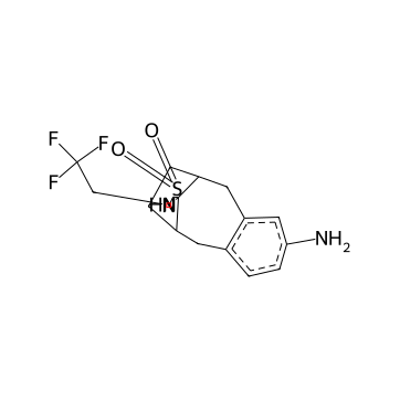 Nc1ccc2c(c1)CC1CCC(C2)C12CN(CC(F)(F)F)S(=O)(=O)N2